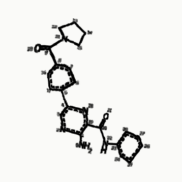 Nc1ncc(-c2ccc(C(=O)N3CCCC3)cc2)nc1C(=O)Nc1ccccc1